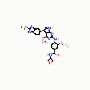 COc1cc(C(O)NC2COC2)ccc1Nc1nc(OC)c2c(-c3ccc4[nH]c(C)nc4c3)c[nH]c2n1